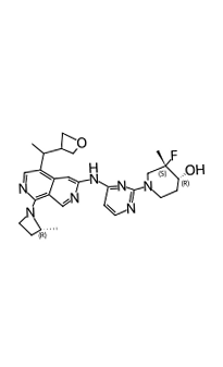 CC(c1cnc(N2CC[C@H]2C)c2cnc(Nc3ccnc(N4CC[C@@H](O)[C@@](C)(F)C4)n3)cc12)C1COC1